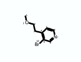 COCCc1ccncc1Br